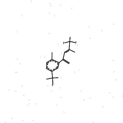 C=C(/C=C(\C)C(C)(F)F)c1cc(C(C)(C)F)ccc1C